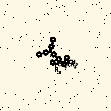 CC1(C)c2ccccc2-c2c(-c3ccc(-c4ccc(N(c5ccc(-c6ccccc6)cc5)c5ccc(-c6ccccc6)cc5)cc4)c4c3C(C)(C)c3ccccc3-4)cccc21